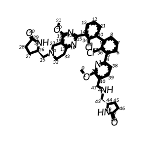 COc1nc(-c2cccc(-c3cccc(-c4nc5c(c(OC)n4)CN(C[C@H]4CCC(=O)N4)CC5)c3Cl)c2Cl)ccc1CNC[C@@H]1CCC(=O)N1